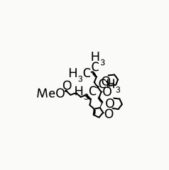 COC(=O)CCC/C=C\CC1=CC[C@@H](OC2CCCCO2)[C@@H]1/C=C/[C@@H](OC1CCCCO1)C(C)(C)CC=C(C)C